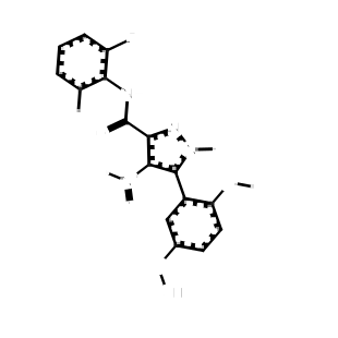 COc1ccc(OC)c(-c2c([N+](=O)[O-])c(C(=O)Nc3c(F)cccc3F)nn2C)c1